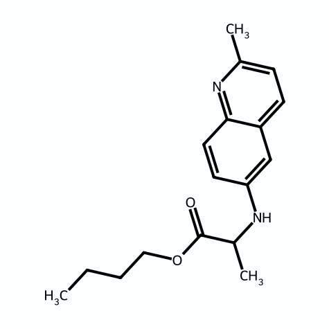 CCCCOC(=O)C(C)Nc1ccc2nc(C)ccc2c1